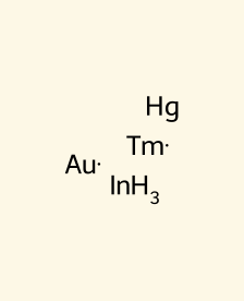 [Au].[Hg].[InH3].[Tm]